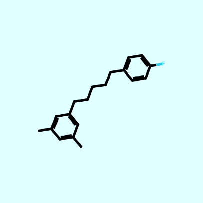 Cc1cc(C)cc(CC[CH]CCc2ccc(F)cc2)c1